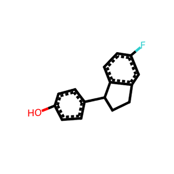 Oc1ccc(C2CCc3cc(F)ccc32)cc1